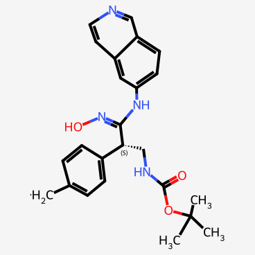 [CH2]c1ccc([C@@H](CNC(=O)OC(C)(C)C)C(=NO)Nc2ccc3cnccc3c2)cc1